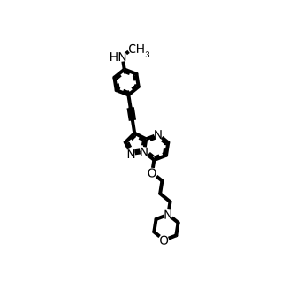 CNc1ccc(C#Cc2cnn3c(OCCCN4CCOCC4)ccnc23)cc1